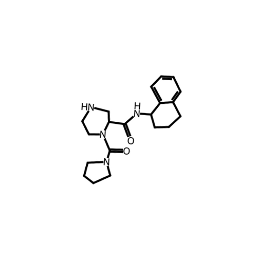 O=C(NC1CCCc2ccccc21)C1CNCCN1C(=O)N1CCCC1